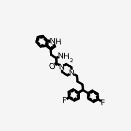 NC(Cc1c[nH]c2ccccc12)C(=O)N1CCN(CCCC(c2ccc(F)cc2)c2ccc(F)cc2)CC1